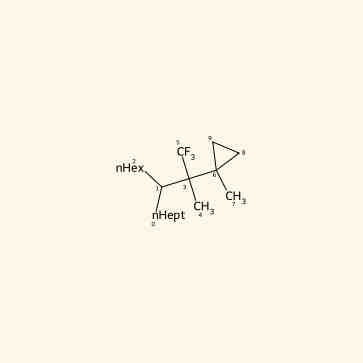 CCCCCCCC(CCCCCC)C(C)(C(F)(F)F)C1(C)CC1